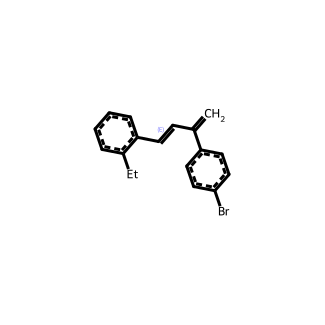 C=C(/C=C/c1ccccc1CC)c1ccc(Br)cc1